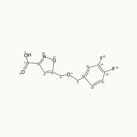 O=C(O)c1cc(COCc2ccc(F)c(F)c2)on1